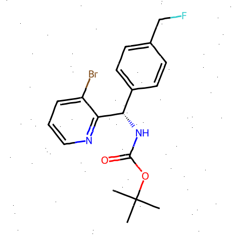 CC(C)(C)OC(=O)N[C@@H](c1ccc(CF)cc1)c1ncccc1Br